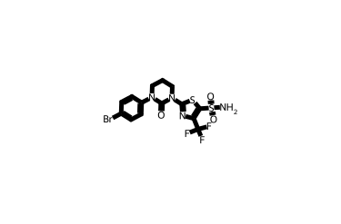 NS(=O)(=O)c1sc(N2CCCN(c3ccc(Br)cc3)C2=O)nc1C(F)(F)F